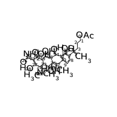 CC(=O)OCCCC(C)(C)c1ccc2c(c1O)C(=O)C1=C(O)[C@]3(O)C(=O)C(C(N)=O)=C(O)[C@@H](N(C)C)[C@@H]3[C@@H](O)[C@@H]1[C@H]2C